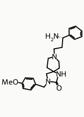 COc1ccc(CN2CC3(CCN(CC[C@H](N)c4ccccc4)CC3)NC2=O)cc1